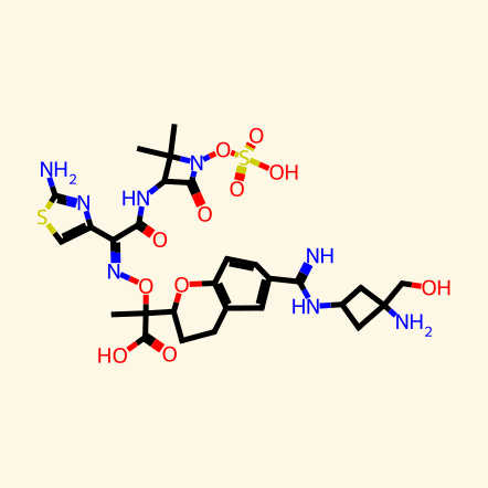 CC(ON=C(C(=O)NC1C(=O)N(OS(=O)(=O)O)C1(C)C)c1csc(N)n1)(C(=O)O)C1CCc2cc(C(=N)NC3CC(N)(CO)C3)ccc2O1